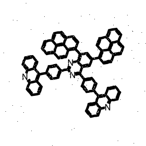 c1cc2ccc3ccc(-c4cc(-c5ccc6ccc7cccc8ccc5c6c78)c5nc(-c6ccc(-c7c8ccccc8nc8ccccc78)cc6)nc(-c6ccc(-c7c8ccccc8nc8ccccc78)cc6)c5c4)c4ccc(c1)c2c34